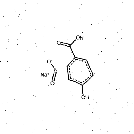 O=C(O)c1ccc(O)cc1.O=N[O-].[Na+]